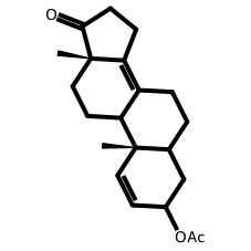 CC(=O)OC1C=C[C@@]2(C)C(CCC3=C4CCC(=O)[C@@]4(C)CCC32)C1